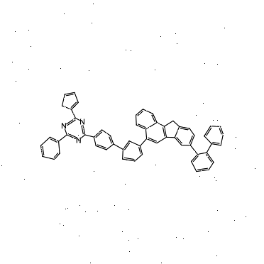 C1=CCC(c2nc(-c3ccccc3)nc(-c3ccc(-c4cccc(-c5cc6c(c7ccccc57)Cc5ccc(-c7ccccc7-c7ccccc7)cc5-6)c4)cc3)n2)=C1